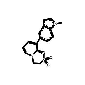 Cn1ccc2cc(C3=CC=CN4CCS(=O)(=O)N=C34)ccc21